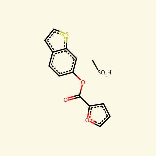 CS(=O)(=O)O.O=C(Oc1ccc2ccsc2c1)c1ccco1